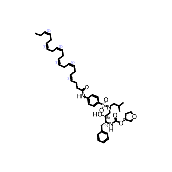 CC/C=C\C/C=C\C/C=C\C/C=C\C/C=C\C/C=C\CCC(=O)Nc1ccc(S(=O)(=O)N(CC(C)C)C[C@@H](O)[C@H](Cc2ccccc2)NC(=O)O[C@H]2CCOC2)cc1